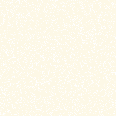 COC(=O)CN1CCOCCOCCOCCOc2cc(-c3cc4ccc(C(=O)OC)cc4[nH]3)ccc21